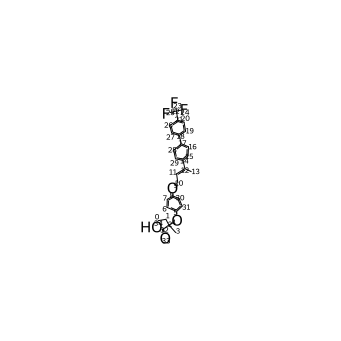 CCC(C)(Oc1ccc(OC/C=C(\C)c2ccc(-c3ccc(C(F)(F)F)cc3)cc2)cc1)C(=O)O